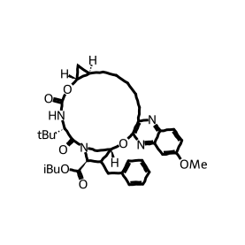 COc1ccc2nc3c(nc2c1)O[C@H]1CN(C(=O)[C@H](C(C)(C)C)NC(=O)O[C@@H]2C[C@H]2CCCCC3)[C@H](C(=O)OCC(C)C)C1Cc1ccccc1